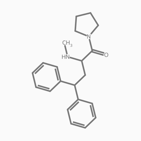 CNC(CC(c1ccccc1)c1ccccc1)C(=O)N1CCCC1